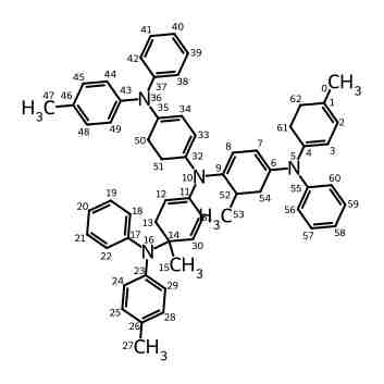 CC1=CC=C(N(C2=CC=C(N(C3=CCC(C)(N(c4ccccc4)c4ccc(C)cc4)C=C3)C3=CC=C(N(c4ccccc4)c4ccc(C)cc4)CC3)C(C)C2)c2ccccc2)CC1